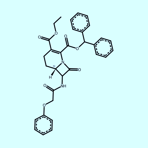 CCOC(=O)C1=C(C(=O)OC(c2ccccc2)c2ccccc2)N2C(=O)C(NC(=O)COc3ccccc3)[C@@H]2CC1